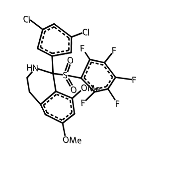 COc1cc2c(c(OC)c1)C(c1cc(Cl)cc(Cl)c1)(S(=O)(=O)c1c(F)c(F)c(F)c(F)c1F)NCC2